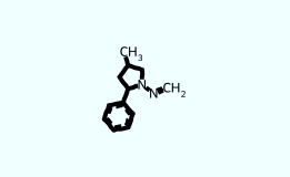 C=NN1CC(C)CC1c1ccccc1